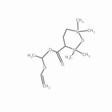 C=COC(C)OC(=O)C1CC[Si](C)(C)O[Si]1(C)C